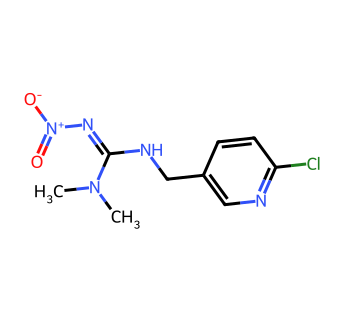 CN(C)/C(=N\[N+](=O)[O-])NCc1ccc(Cl)nc1